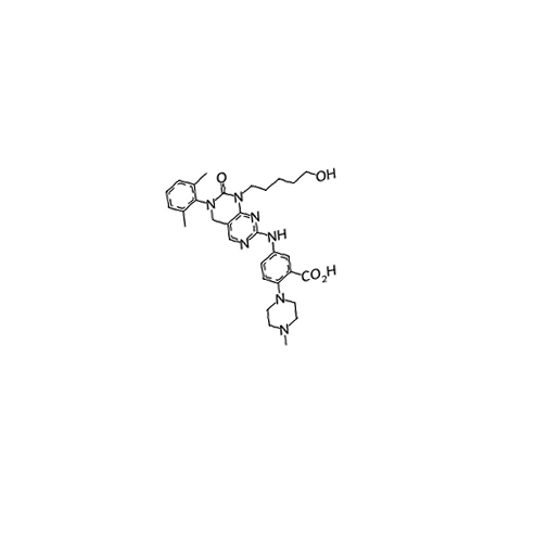 Cc1cccc(C)c1N1Cc2cnc(Nc3ccc(N4CCN(C)CC4)c(C(=O)O)c3)nc2N(CCCCCO)C1=O